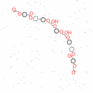 O=C(O[C@H]1CC[C@H](c2ccc(OCC(O)COc3cccc(OCC(O)COc4ccc([C@H]5CC[C@H](OC(=O)c6ccc(OCC7CO7)cc6)CC5)cc4)c3)cc2)CC1)c1ccc(OCC2CO2)cc1